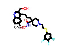 COc1ccc2ncc(CO)c(CCCC3(C(=O)NO)CCN(CCSc4cc(F)c(F)c(F)c4)CC3)c2c1